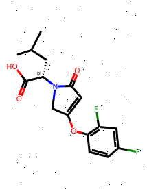 CC(C)C[C@@H](C(=O)O)N1CC(Oc2ccc(F)cc2F)=CC1=O